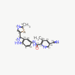 Cc1ncc(-c2n[nH]c3ccc(NC(=O)c4ncc(C#N)cc4C)cc23)s1